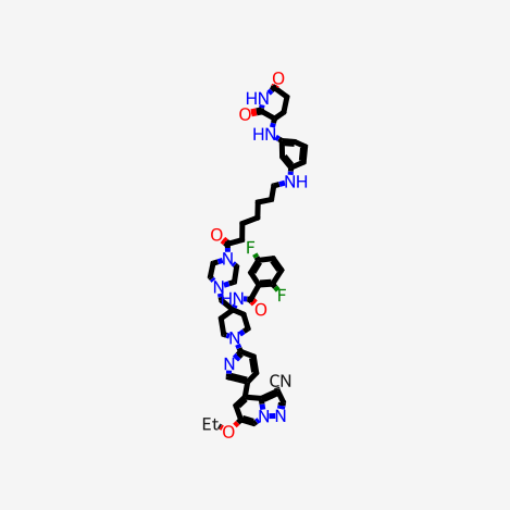 CCOc1cc(-c2ccc(N3CCC(CN4CCN(C(=O)CCCCCCNc5cccc(NC6CCC(=O)NC6=O)c5)CC4)(NC(=O)c4cc(F)ccc4F)CC3)nc2)c2c(C#N)cnn2c1